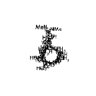 CNCCN(CCNC)CC(=O)N[C@@H](CC(C)C)C(=O)N1CCCC1C(=O)N[C@H]1CSSC[C@@H](C)NC(=O)[C@H](C(C)O)NC(=O)CNC(=O)[C@H](Cc2ccc(O)cc2)NC(=O)[C@H](Cc2ccc(O)cc2)NC(=O)[C@H](CC(=O)O)N[C@@H]1O